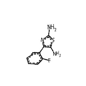 Nc1nc(-c2ccccc2F)c(N)s1